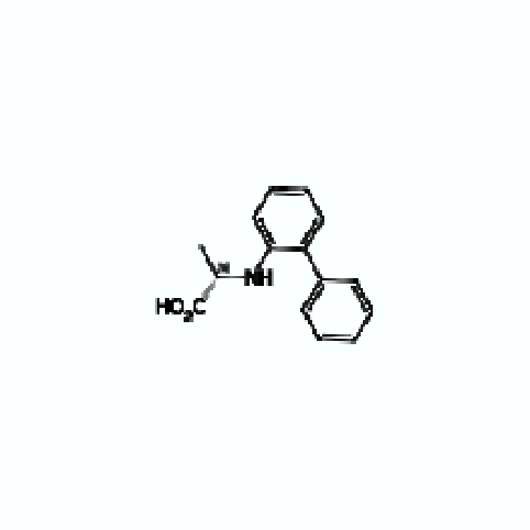 C[C@H](Nc1ccccc1-c1ccccc1)C(=O)O